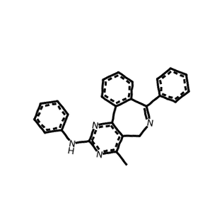 Cc1nc(Nc2ccccc2)nc2c1CN=C(c1ccccc1)c1ccccc1-2